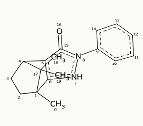 CC12CCC(c3c1[nH]n(-c1ccccc1)c3=O)C2(C)C